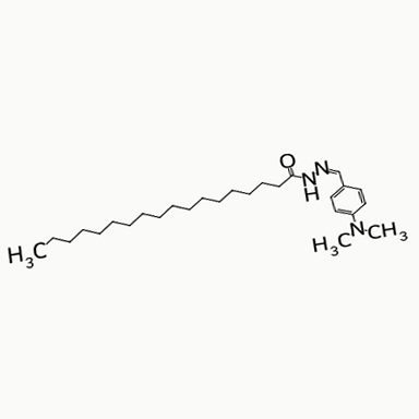 CCCCCCCCCCCCCCCCCC(=O)N/N=C\c1ccc(N(C)C)cc1